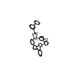 c1ccc(-c2cccc(-c3nc(-c4ccccc4)nc(-c4ccc5oc6cccc(-c7ccc8c9ccccc9c9ccccc9c8c7)c6c5c4)n3)c2)cc1